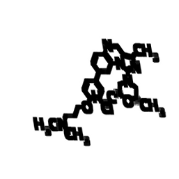 Cc1nc(N2C[C@@H](C)O[C@@H](C)C2)n2c1cnc1ccc(-c3ccc(OCCCN(C)C)c(Cl)c3)cc12